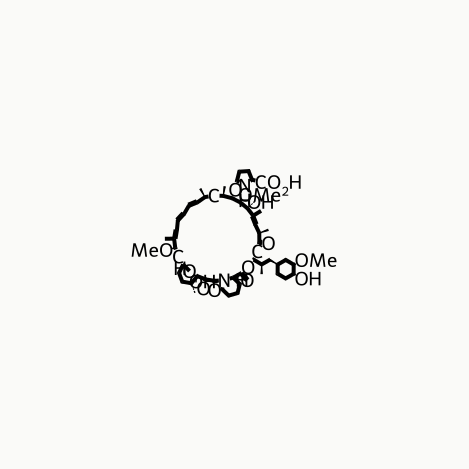 CO[C@H]1C[C@@H]2CC[C@@H](C)[C@@](O)(O2)C(=O)C(=O)N2CCCC[C@H]2C(=O)O[C@H]([C@H](C)C[C@@H]2CC[C@@H](O)[C@H](OC)C2)CC(=O)[C@H](C)/C=C(\C)[C@@H](O)[C@@H](OC)C(=O)[C@H](C)C[C@H](C)/C=C/C=C/C=C/1C.O=C(O)C1CCCN1